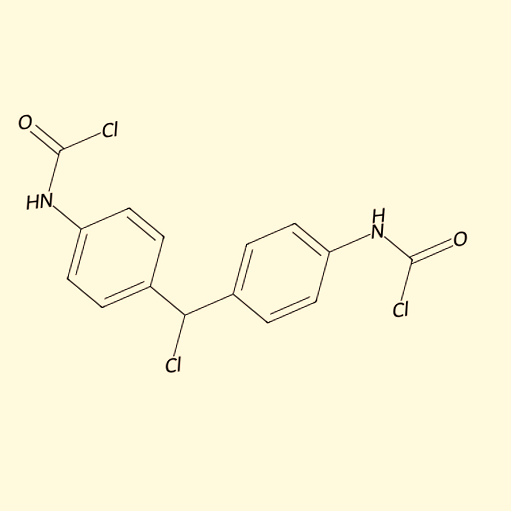 O=C(Cl)Nc1ccc(C(Cl)c2ccc(NC(=O)Cl)cc2)cc1